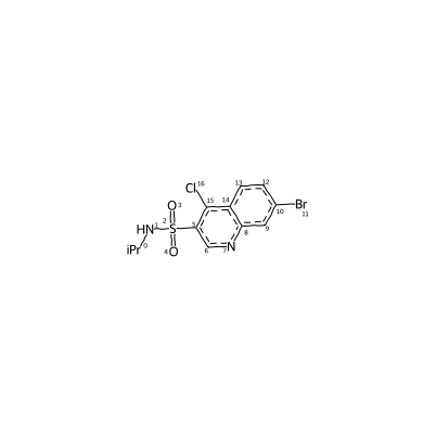 CC(C)NS(=O)(=O)c1cnc2cc(Br)ccc2c1Cl